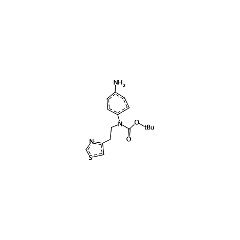 CC(C)(C)OC(=O)N(CCc1cscn1)c1ccc(N)cc1